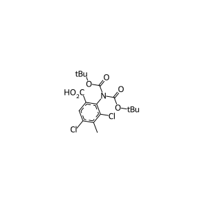 Cc1c(Cl)cc(C(=O)O)c(N(C(=O)OC(C)(C)C)C(=O)OC(C)(C)C)c1Cl